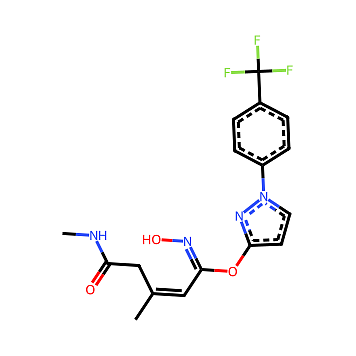 CNC(=O)CC(C)=CC(=NO)Oc1ccn(-c2ccc(C(F)(F)F)cc2)n1